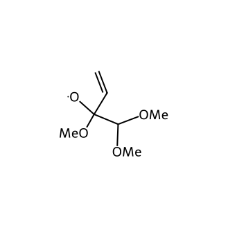 C=CC([O])(OC)C(OC)OC